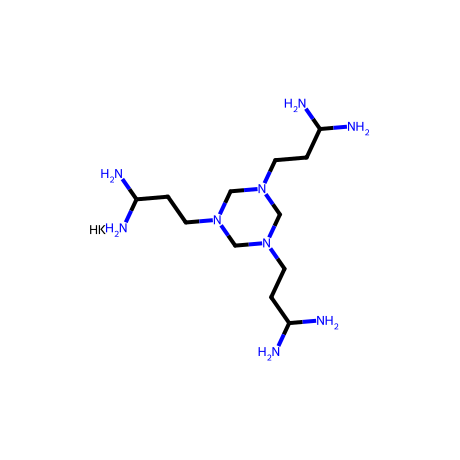 NC(N)CCN1CN(CCC(N)N)CN(CCC(N)N)C1.[KH]